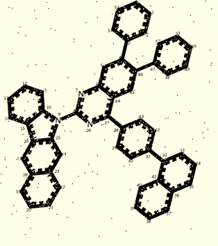 c1ccc(-c2cc3nc(-n4c5ccccc5c5cc6ccccc6cc54)nc(-c4ccc(-c5cccc6ccccc56)cc4)c3cc2-c2ccccc2)cc1